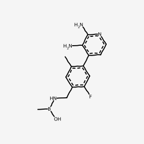 CB(O)NCc1cc(C)c(-c2ccnc(N)c2N)cc1F